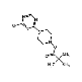 CC(C)(C)C(=O)ON1CCN(c2ncnc(Cl)n2)CC1